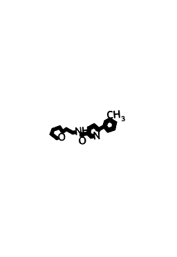 Cc1cccc(-c2ccc(C(=O)NCCC3CCCCO3)cn2)c1